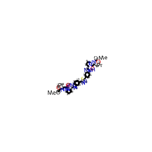 COC(=O)N[C@H](C(=O)N1CCC[C@H]1c1nc2cc(-c3nnc(-c4ccc5[nH]c([C@@H]6CCCN6C(=O)[C@@H](NC(=O)OC)C(C)C)nc5c4)s3)ccc2[nH]1)C(C)C